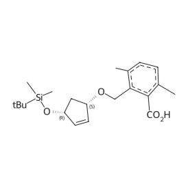 Cc1ccc(C)c(C(=O)O)c1CO[C@@H]1C=C[C@H](O[Si](C)(C)C(C)(C)C)C1